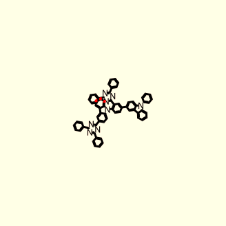 c1ccc(-c2nc(-c3ccccc3)nc(-c3ccc4c(c3)c3ccccc3n4-c3ccc(-c4ccc5c(c4)c4ccccc4n5-c4ccccc4)cc3-c3nc(-c4ccccc4)nc(-c4ccccc4)n3)n2)cc1